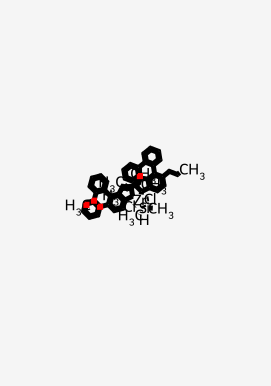 CCCc1ccc2c(c1-c1ccccc1-c1ccccc1)C=C(C(C)C)[CH]2[Zr]([Cl])([Cl])([CH]1C(C(C)C)=Cc2c1ccc(CCC)c2-c1ccccc1-c1ccccc1)[SiH](C)C